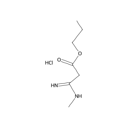 CCCOC(=O)CC(=N)NC.Cl